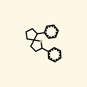 c1ccc(C2CCC3(CCCC3c3ccccc3)O2)cc1